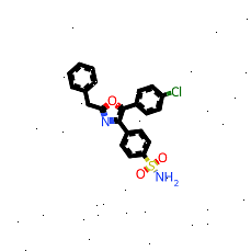 NS(=O)(=O)c1ccc(-c2nc(Cc3ccccc3)oc2-c2ccc(Cl)cc2)cc1